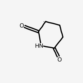 O=C1[CH]CCC(=O)N1